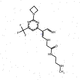 CNCCNC(=O)CN/C=C(\C=N)c1cc(C(F)(F)F)nc(N2CCC2)n1